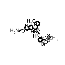 Cc1cccc(-c2nc(CNc3ccc(Br)c(C(=O)NS(C)(=O)=O)c3)[nH]c2-c2ccc3ncc(OCCN)cc3c2)n1